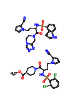 COC(=O)C1CCN(C(=O)C(CCn2cccc2C#N)NS(=O)(=O)c2c(Cl)cccc2Cl)CC1.N#Cc1cccn1CCC(NS(=O)(=O)c1cccc2[nH]ccc12)C(=O)N1CCn2cnnc2C1